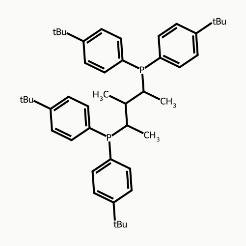 CC(C(C)P(c1ccc(C(C)(C)C)cc1)c1ccc(C(C)(C)C)cc1)C(C)P(c1ccc(C(C)(C)C)cc1)c1ccc(C(C)(C)C)cc1